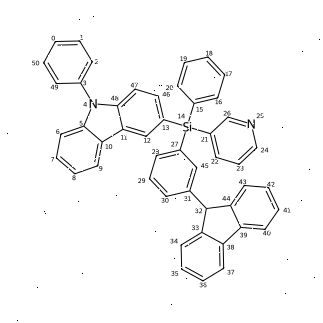 c1ccc(-n2c3ccccc3c3cc([Si](c4ccccc4)(c4cccnc4)c4cccc(C5c6ccccc6-c6ccccc65)c4)ccc32)cc1